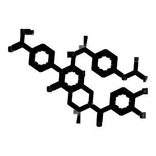 CNC(=O)c1ccc(-n2c(N[C@H](C)c3ccc(OC(F)F)cc3)nc3c(c2=O)C[C@@H](C)N(C(=O)c2ccc(Cl)c(Cl)c2)C3)cc1